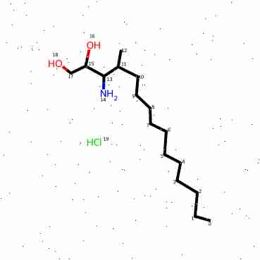 CCCCCCCCCCCC(C)C(N)C(O)CO.Cl